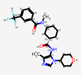 Cc1ncn(C2CCOCC2)c1NC(=O)[C@H]1CCC[C@@H](N(C)C(=O)c2cccc(C(F)(F)F)c2)C1